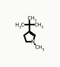 CN1C=C(C(C)(C)C)CC1